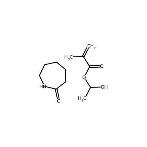 C=C(C)C(=O)OC(C)O.O=C1CCCCCN1